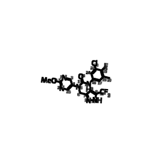 COc1ncc(N(Cc2cc(C(F)(F)F)[nH]n2)C(=O)Nc2cc(C)c(F)c(Cl)c2)cn1